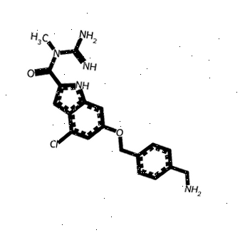 CN(C(=N)N)C(=O)c1cc2c(Cl)cc(OCc3ccc(CN)cc3)cc2[nH]1